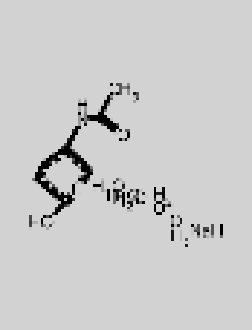 CC(=O)Nc1ccc(O)cc1.O.O.O.O.O.[NaH]